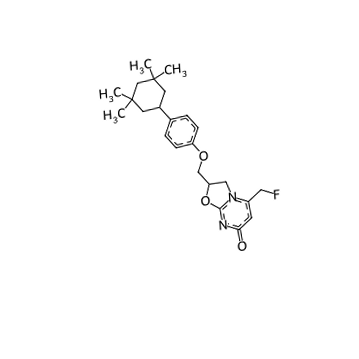 CC1(C)CC(c2ccc(OCC3Cn4c(CF)cc(=O)nc4O3)cc2)CC(C)(C)C1